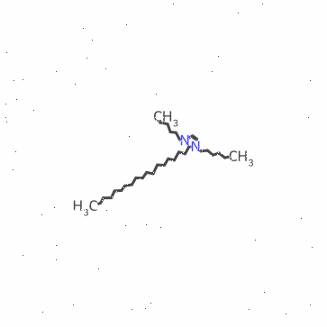 CCCCCCCCCCCCCCCCCCC1N(CCCCCC)C=CN1CCCCCC